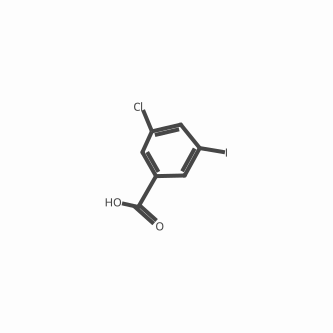 O=C(O)c1cc(Cl)cc(I)c1